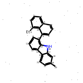 CCc1cccc2cccc(-c3cccc4c3[nH]c3cc(C)ccc34)c12